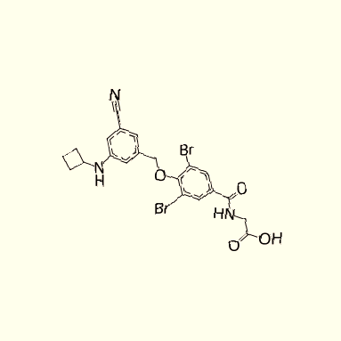 N#Cc1cc(COc2c(Br)cc(C(=O)NCC(=O)O)cc2Br)cc(NC2CCC2)c1